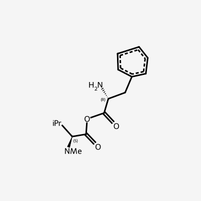 CN[C@H](C(=O)OC(=O)[C@H](N)Cc1ccccc1)C(C)C